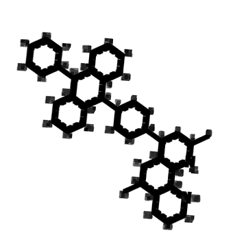 Cc1cc(-c2ccc(-c3c4ccccc4c(-c4ccccc4)c4ccccc34)cc2)c2cc(C)c3cccnc3c2n1